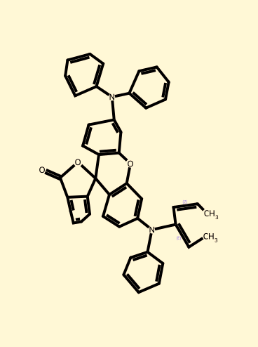 C/C=C\C(=C/C)N(c1ccccc1)c1ccc2c(c1)Oc1cc(N(c3ccccc3)c3ccccc3)ccc1C21OC(=O)c2ccccc21